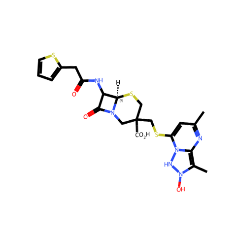 CC1=NC2=C(C)N(O)NN2C(SCC2(C(=O)O)CS[C@@H]3C(NC(=O)Cc4cccs4)C(=O)N3C2)=C1